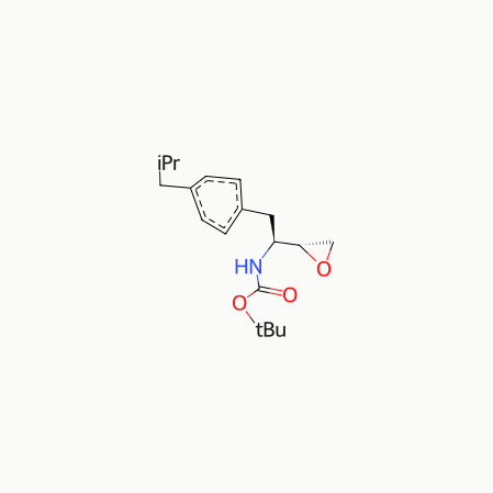 CC(C)Cc1ccc(C[C@H](NC(=O)OC(C)(C)C)[C@@H]2CO2)cc1